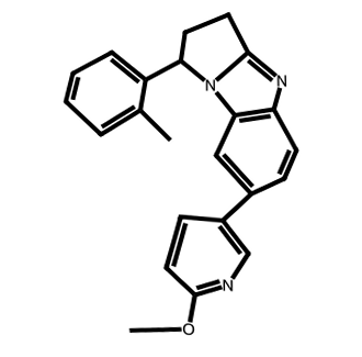 COc1ccc(-c2ccc3nc4n(c3c2)C(c2ccccc2C)CC4)cn1